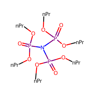 CCCOP(=O)(OCCC)N(P(=O)(OCCC)OCCC)P(=O)(OCCC)OCCC